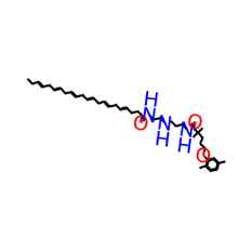 CCC=CCC=CCC=CCC=CCC=CCC=CCCC(=O)NCCNCCCNC(=O)C(C)(C)CCCOc1cc(C)ccc1C